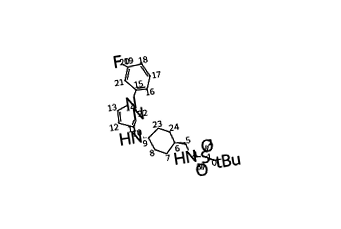 CC(C)(C)S(=O)(=O)NC[C@H]1CC[C@H](Nc2ccn(-c3cccc(F)c3)n2)CC1